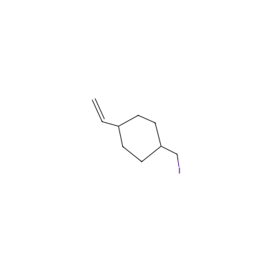 C=CC1CCC(CI)CC1